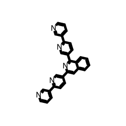 c1cncc(-c2ccc(-c3cc4ccccc4c(-c4ccc(-c5cccnc5)nc4)n3)cn2)c1